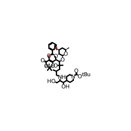 COC(C)(CC(C)CNC(CO)C(O)C1CCN(C(=O)OC(C)(C)C)CC1)C(O[C@@H]1O[C@H](C)C[C@H](N(C)C)[C@H]1OC(=O)c1ccccc1)C(C)C1=C(C)C(=O)OC(C)(C)O1